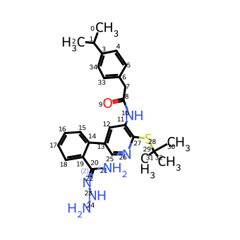 CC(C)c1ccc(CC(=O)Nc2cc(-c3ccccc3/C(N)=N/NN)cnc2SC(C)(C)C)cc1